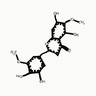 COc1cc(-c2cc(=O)c3c(O)c(OC)c(O)cc3o2)cc(O)c1O